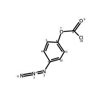 [N-]=[N+]=Nc1ccc(OC(=O)Cl)cc1